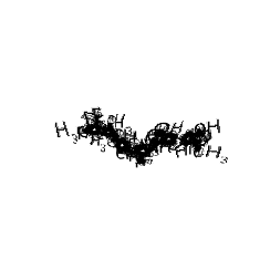 CNC(=O)c1cc(Oc2ccc(C(=O)O)c(C(=O)Nc3ccc(Oc4c(C)cc(C(C)(C)c5cc(C)c(Oc6ccc(C)cc6C(F)(F)F)c(C)c5)cc4C)c(C(F)(F)F)c3)c2)ccc1C(=O)O